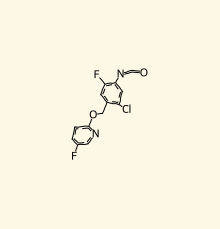 O=C=Nc1cc(Cl)c(COc2ccc(F)cn2)cc1F